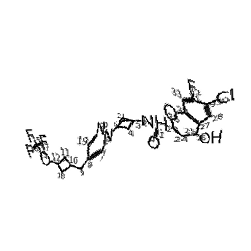 O=C(NC12CC(n3cc(CC4CC(OC(F)(F)F)C4)cn3)(C1)C2)[C@H]1C[C@@H](O)c2cc(Cl)c(F)cc2O1